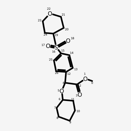 COC(=O)C(OC1CCCCC1)c1ccc(S(=O)(=O)C2CCOCC2)cc1